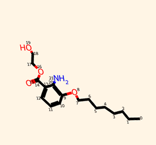 CCCCCCCCOc1cccc(C(=O)OCCO)c1N